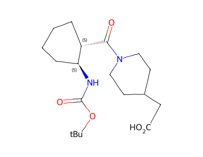 CC(C)(C)OC(=O)N[C@H]1CCCC[C@@H]1C(=O)N1CCC(CC(=O)O)CC1